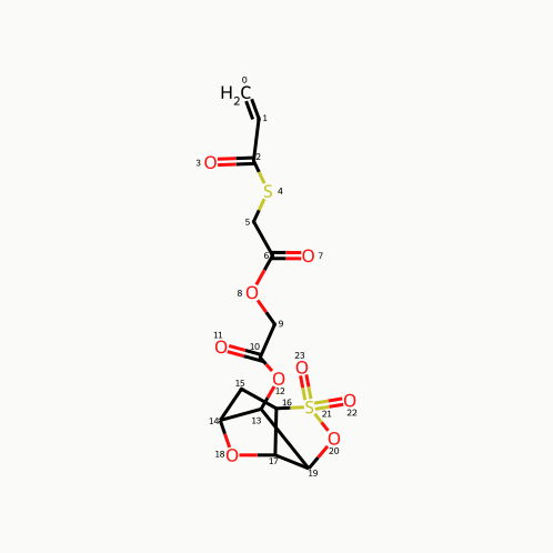 C=CC(=O)SCC(=O)OCC(=O)OC1C2CC3C(O2)C1OS3(=O)=O